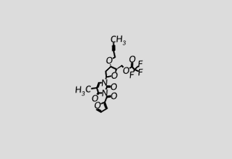 CC#CCO[C@H]1C[C@H](n2cc(C)c(=O)n(C(=O)c3ccco3)c2=O)O[C@@H]1COC(=O)C(F)(F)F